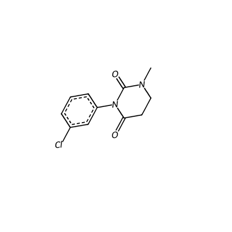 CN1CCC(=O)N(c2cccc(Cl)c2)C1=O